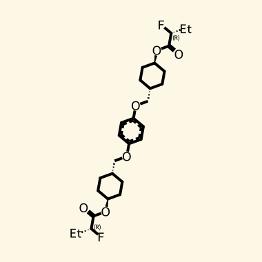 CC[C@@H](F)C(=O)O[C@H]1CC[C@H](COc2ccc(OC[C@H]3CC[C@H](OC(=O)[C@H](F)CC)CC3)cc2)CC1